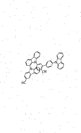 N#Cc1ccc2c(c1)c1ccccc1n2-c1cccc2c3ccccc3n(-c3ccc(C#N)c(-c4ccc(-n5c6ccccc6c6ccccc65)cc4)c3)c12